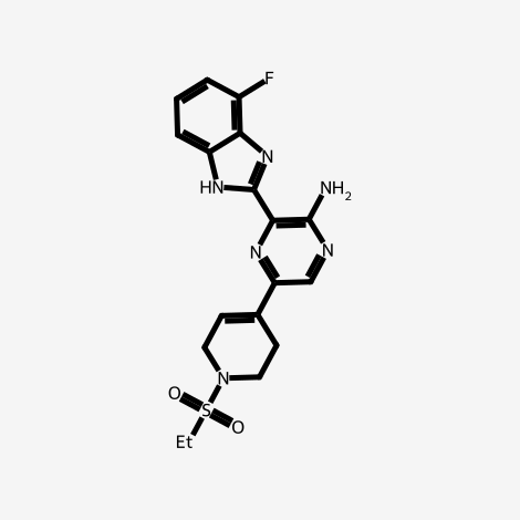 CCS(=O)(=O)N1CC=C(c2cnc(N)c(-c3nc4c(F)cccc4[nH]3)n2)CC1